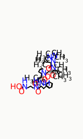 CC[C@H](C)[C@@H]([C@@H](CC(=O)N1CCCC1[C@H](OC)[C@@H](C)C(=O)NC(Cc1ccccc1)C(=O)NCCCNC(=O)O)OC)N(C)C(=O)C(N=C(N(C)C)N(C)C)C(C)C